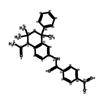 CC(=O)N1c2ccc(NC(=O)c3ccc([N+](=O)[O-])cc3)cc2C(C)(c2ccccc2)CC1(C)C